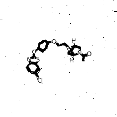 CC(=O)N1C[C@H]2C[C@@H]1CN2CCOc1ccc(Oc2nc3ccc(Cl)cc3s2)cc1